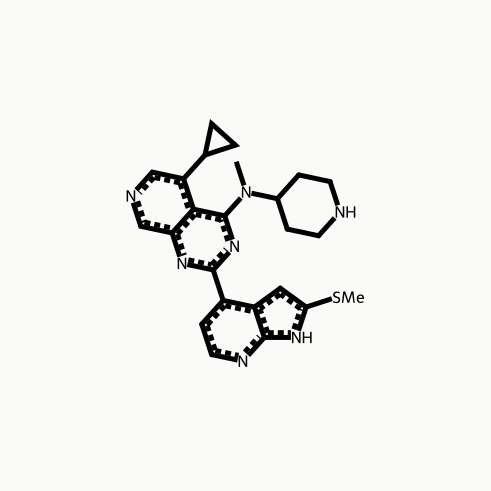 CSc1cc2c(-c3nc(N(C)C4CCNCC4)c4c(C5CC5)cncc4n3)ccnc2[nH]1